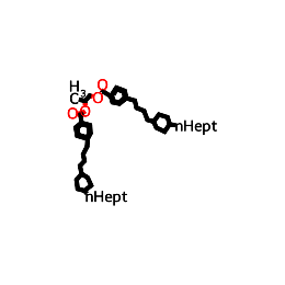 CCCCCCCC1CCC(CCCCc2ccc(C(=O)OCC(C)OC(=O)c3ccc(CCCCC4CCC(CCCCCCC)CC4)cc3)cc2)CC1